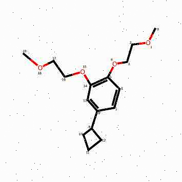 COCCOc1ccc(C2CCC2)cc1OCCOC